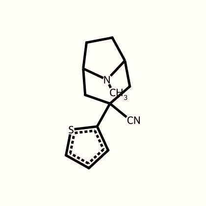 CN1C2CCC1CC(C#N)(c1cccs1)C2